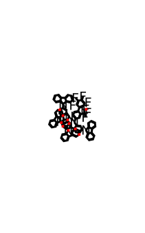 Fc1c(F)c(F)c(-c2cc(-n3c4cc(-n5c6ccccc6c6ccccc65)ccc4c4ccc(-n5c6ccccc6c6ccccc65)cc43)c(-n3c4cc(-n5c6ccccc6c6ccccc65)ccc4c4ccc(-n5c6ccccc6c6ccccc65)cc43)cc2C(F)(F)F)c(F)c1F